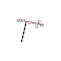 C#CC#CC#CC#CC#CC(CCCCCCCC)COCCCNC(=O)C(C)C